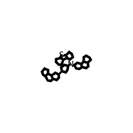 c1ccc2c(c1)ccc1ccc(-c3ccc(N(c4ccc5ccc6ccccc6c5c4)c4cccc5sc6ccccc6c45)cc3)cc12